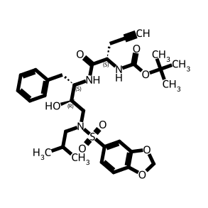 C#CC[C@H](NC(=O)OC(C)(C)C)C(=O)N[C@@H](Cc1ccccc1)[C@H](O)CN(CC(C)C)S(=O)(=O)c1ccc2c(c1)OCO2